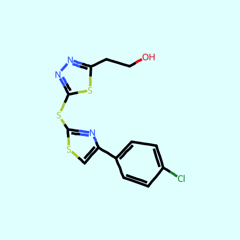 OCCc1nnc(Sc2nc(-c3ccc(Cl)cc3)cs2)s1